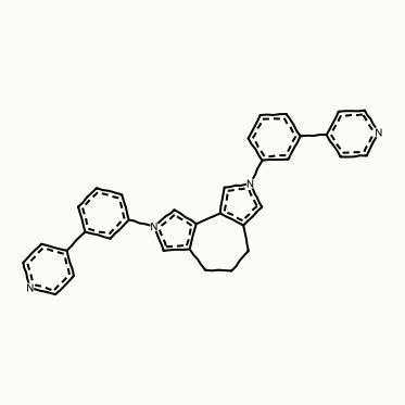 c1cc(-c2ccncc2)cc(-n2cc3c(c2)-c2cn(-c4cccc(-c5ccncc5)c4)cc2CCC3)c1